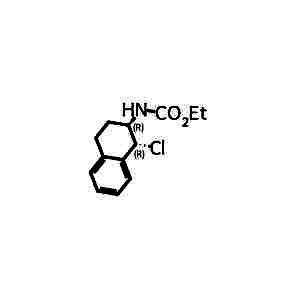 CCOC(=O)N[C@@H]1CCc2ccccc2[C@H]1Cl